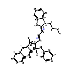 CCCCN1/C(=C/C=C/C2=[N+](C)c3cc4ccccc4cc3C2(C)Cc2ccccc2)Sc2ccccc21